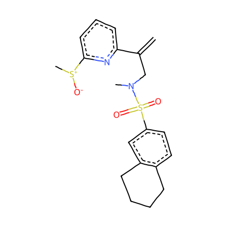 C=C(CN(C)S(=O)(=O)c1ccc2c(c1)CCCC2)c1cccc([S+](C)[O-])n1